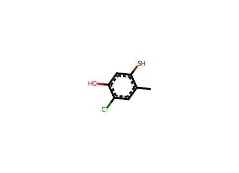 Cc1cc(Cl)c(O)cc1S